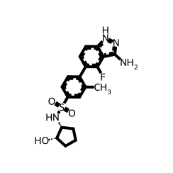 Cc1cc(S(=O)(=O)N[C@@H]2CCC[C@@H]2O)ccc1-c1ccc2[nH]nc(N)c2c1F